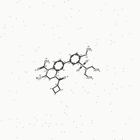 CCN(CC)S(=O)(=O)c1cc(-c2ccc3c(c2)N(C(=O)C2CCC2)CC(C)N3C(C)=O)ccc1OC